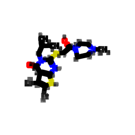 C=C(C)Cn1c(SCC(=O)N2CCN(C)CC2)nc2sc(CC)c(CC)c2c1=O